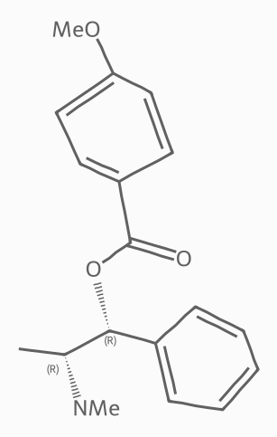 CN[C@H](C)[C@H](OC(=O)c1ccc(OC)cc1)c1ccccc1